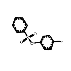 [CH2]c1ccc(OS(=O)(=O)c2ccccc2)cc1